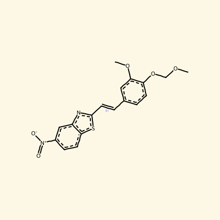 COCOc1ccc(/C=C/c2nc3cc([N+](=O)[O-])ccc3s2)cc1OC